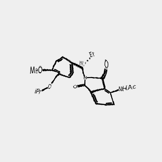 CC[C@@H](c1ccc(OC)c(OC(C)C)c1)N1C(=O)c2cccc(NC(C)=O)c2C1=O